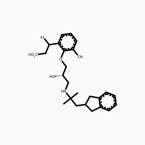 CCC(CC(=O)O)c1cccc(C#N)c1OC[C@@H](O)CNC(C)(C)CC1Cc2ccccc2C1